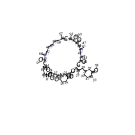 CO[C@H]1C[C@@H]2CC[C@@H](C)[C@@](O)(O2)C(=O)C(=O)N2CCCC[C@H]2C(=O)OC([C@H](C)CC2CC[C@@H](C)[C@H](OC)C2)CC(=O)[C@H](C)/C=C(\C)[C@@H](C)[C@@H](OC)C(=O)[C@H](C)C[C@H](C)/C=C/C=C/C=C/1C